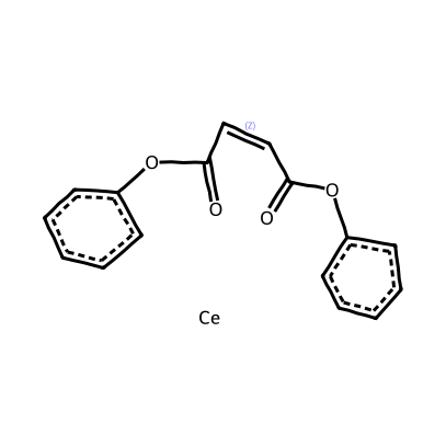 O=C(/C=C\C(=O)Oc1ccccc1)Oc1ccccc1.[Ce]